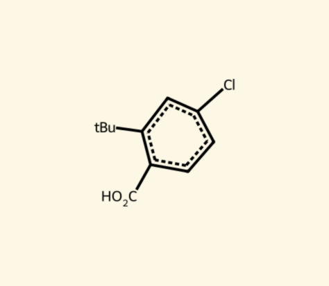 CC(C)(C)c1cc(Cl)ccc1C(=O)O